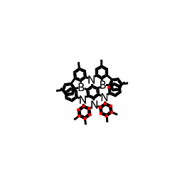 Cc1ccc(N(c2ccc(C)cc2)c2c3c4c(c(N(c5ccc(C)cc5)c5ccc(C)cc5)c2N(c2ccc(C)cc2)c2ccc(C)cc2)B2c5ccc(C)cc5-c5cc(C)cc(c52)N4c2cc(C)cc4c2B3c2ccc(C)cc2-4)cc1